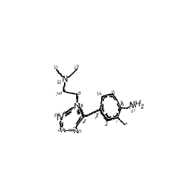 Cc1cc(-c2nnnn2CCN(C)C)ccc1N